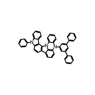 c1ccc(-c2cc(-c3ccccc3)cc(N3c4ccccc4-n4c5c3cccc5c3ccc5c(c6ccccc6n5-c5ccccc5)c34)c2)cc1